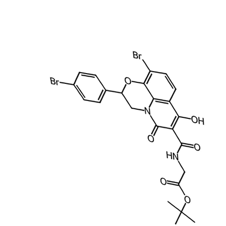 CC(C)(C)OC(=O)CNC(=O)c1c(O)c2ccc(Br)c3c2n(c1=O)CC(c1ccc(Br)cc1)O3